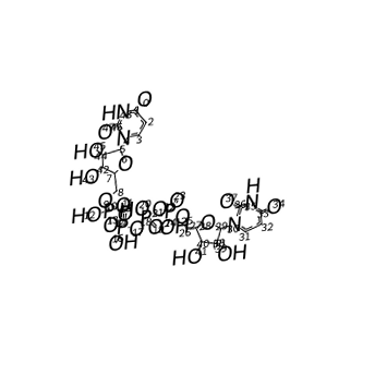 O=c1ccn(C2OC(COP(=O)(O)OP(=O)(O)OP(=O)(O)OP(=O)(O)OCC3OC(n4ccc(=O)[nH]c4=O)[C@H](O)C3O)C(O)C2O)c(=O)[nH]1